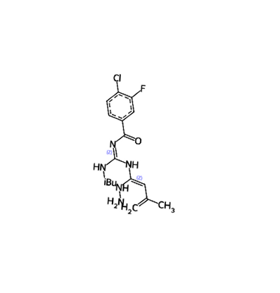 C=C(C)/C=C(\NN)N/C(=N\C(=O)c1ccc(Cl)c(F)c1)NC(C)CC